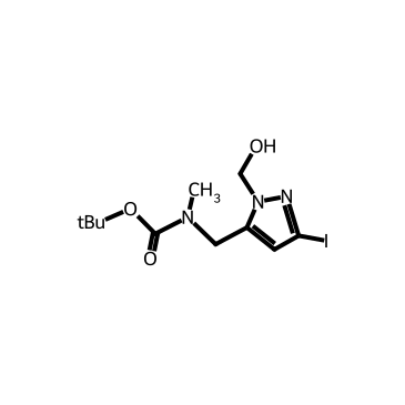 CN(Cc1cc(I)nn1CO)C(=O)OC(C)(C)C